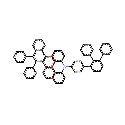 c1ccc(-c2ccccc2N(c2ccc(-c3cccc(-c4ccccc4)c3-c3ccccc3)cc2)c2ccccc2-c2ccc3c(c2)c(-c2ccccc2)c(-c2ccccc2)c2ccccc23)cc1